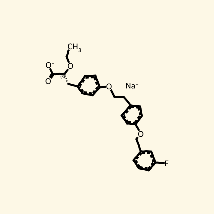 CCO[C@H](Cc1ccc(OCCc2ccc(OCc3cccc(F)c3)cc2)cc1)C(=O)[O-].[Na+]